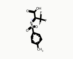 Cc1ccc(S(=O)(=O)/N=C(/C(=O)O)C(F)(F)F)cc1